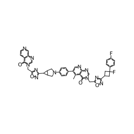 Cc1c(-c2ccc(N3CC4C(C3)C4c3noc(Cn4cnc5cnccc5c4=O)n3)cc2)cnc2ncn(Cc3nc(C4CC(F)(c5ccc(F)cc5)C4)no3)c(=O)c12